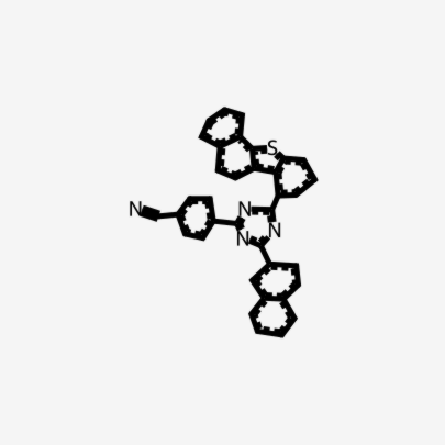 N#Cc1ccc(-c2nc(-c3ccc4ccccc4c3)nc(-c3cccc4sc5c6ccccc6ccc5c34)n2)cc1